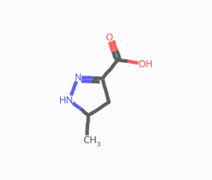 CC1CC(C(=O)O)=NN1